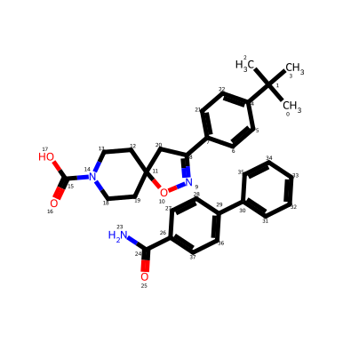 CC(C)(C)c1ccc(C2=NOC3(CCN(C(=O)O)CC3)C2)cc1.NC(=O)c1ccc(-c2ccccc2)cc1